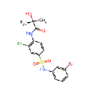 C[C@@](O)(C(=O)Nc1ccc(S(=O)(=O)Nc2cccc(Br)c2)cc1Cl)C(F)(F)F